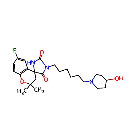 CC1(C)CC2(NC(=O)N(CCCCCCN3CCC(O)CC3)C2=O)c2cc(F)ccc2O1